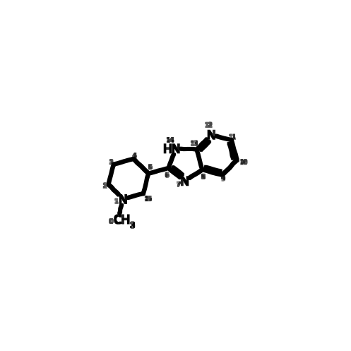 CN1CCCC(c2nc3cccnc3[nH]2)C1